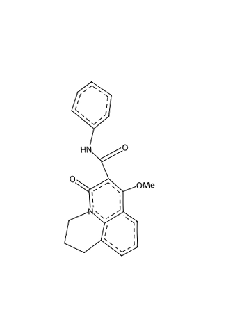 COc1c(C(=O)Nc2ccccc2)c(=O)n2c3c(cccc13)CCC2